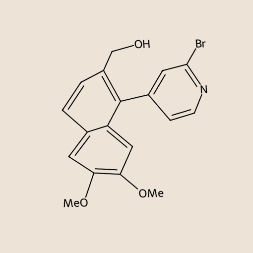 COc1cc2ccc(CO)c(-c3ccnc(Br)c3)c2cc1OC